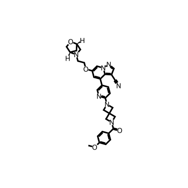 COc1ccc(C(=O)N2CC3(C2)CN(c2ccc(-c4cc(OCCN5C[C@@H]6C[C@H]5CO6)cn5ncc(C#N)c45)cn2)C3)cc1